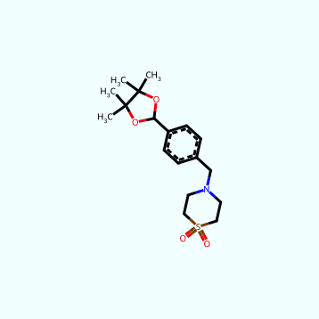 CC1(C)OC(c2ccc(CN3CCS(=O)(=O)CC3)cc2)OC1(C)C